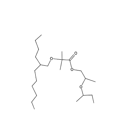 CCCCCCC(CCCC)COC(C)(C)C(=O)OCC(C)OC(C)CC